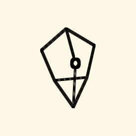 C1C2CC3C1C3O2